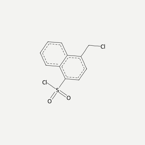 O=S(=O)(Cl)c1ccc(CCl)c2ccccc12